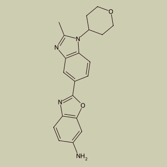 Cc1nc2cc(-c3nc4ccc(N)cc4o3)ccc2n1C1CCOCC1